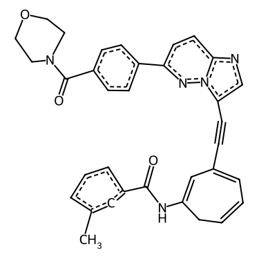 Cc1cccc(C(=O)NC2=CC(C#Cc3cnc4ccc(-c5ccc(C(=O)N6CCOCC6)cc5)nn34)=CC=CC2)c1